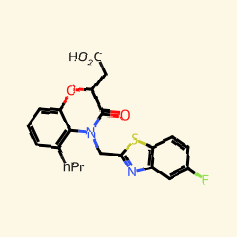 CCCc1cccc2c1N(Cc1nc3cc(F)ccc3s1)C(=O)C(CC(=O)O)O2